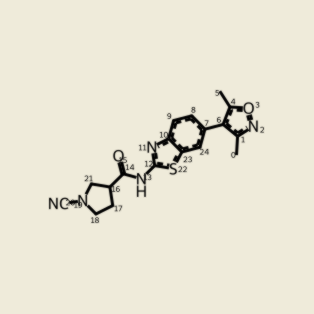 Cc1noc(C)c1-c1ccc2nc(NC(=O)C3CCN(C#N)C3)sc2c1